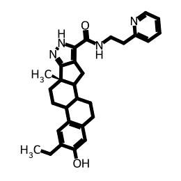 CCc1cc2c(cc1O)CCC1C2CC[C@]2(C)c3n[nH]c(C(=O)NCCc4ccccn4)c3CC12